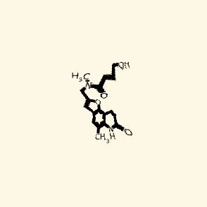 Cc1cc2c(c3c1NC(=O)CC3)OC(CN(C)C(=O)CCCO)C2